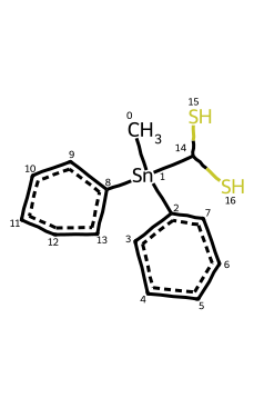 [CH3][Sn]([c]1ccccc1)([c]1ccccc1)[CH](S)S